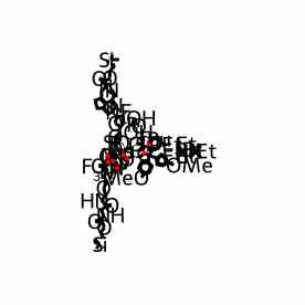 CCN(CC)CC.CCN(CC)CC.COc1ccc(C(OC[C@H]2O[C@@H](n3cnc4c(=O)n(CCOCNC(=O)CNC(=O)OCC[Si](C)(C)C)cnc43)[C@H](O[P@@](=S)(OC[C@H]3CCCN3C(=O)C(F)(F)F)OC[C@H]3O[C@@H](N4C=C5CCC6=C5C(=N4)C=NN(C(=O)OCC[Si](C)(C)C)C6)[C@@H](F)[C@@H]3P(=O)(O)O)[C@@H]2O[Si](C)(C)C(C)(C)C)(c2ccccc2)c2ccc(OC)cc2)cc1